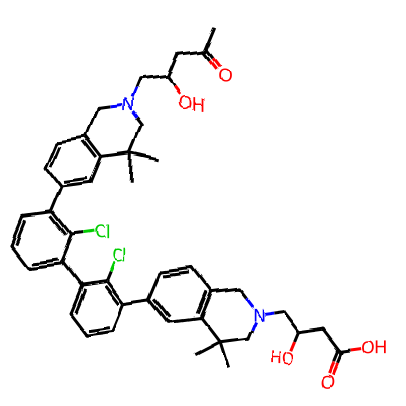 CC(=O)CC(O)CN1Cc2ccc(-c3cccc(-c4cccc(-c5ccc6c(c5)C(C)(C)CN(CC(O)CC(=O)O)C6)c4Cl)c3Cl)cc2C(C)(C)C1